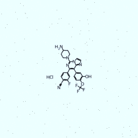 Cl.N#Cc1ccc(-c2nc(N3CCC(N)CC3)n3ccnc3c2-c2ccc(OC(F)(F)F)c(O)c2)cc1F